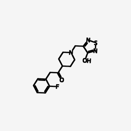 O=C(Cc1ccccc1F)C1CCN(Cc2nsnc2O)CC1